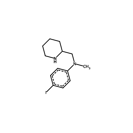 CN(CC1CCCCN1)c1ccc(I)cc1